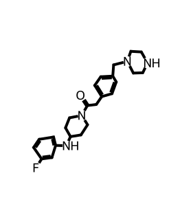 O=C(Cc1ccc(CN2CCNCC2)cc1)N1CCC(Nc2cccc(F)c2)CC1